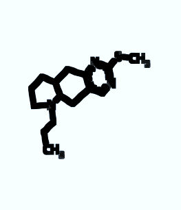 CCCN1CCCC2Cc3nc(SC)ncc3CC21